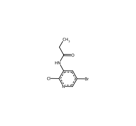 CCC(=O)Nc1cc(Br)cnc1Cl